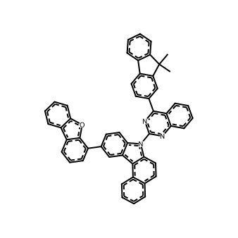 CC1(C)c2ccccc2-c2ccc(-c3nc(-n4c5ccc(-c6cccc7c6oc6ccccc67)cc5c5c6ccccc6ccc54)nc4ccccc34)cc21